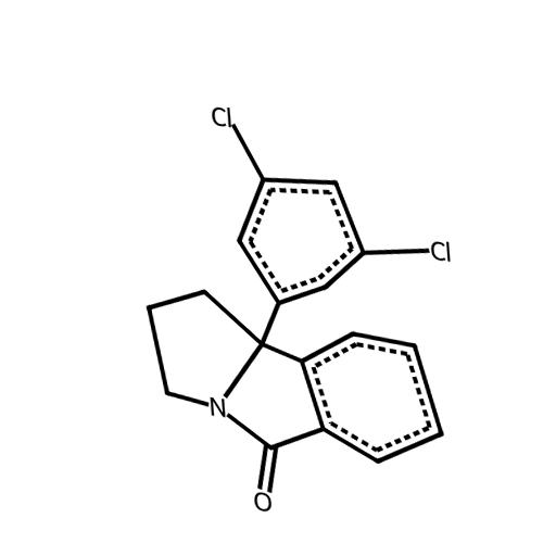 O=C1c2ccccc2C2(c3cc(Cl)cc(Cl)c3)CCCN12